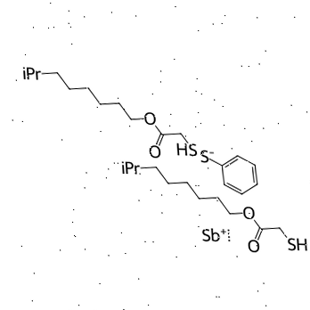 CC(C)CCCCCCOC(=O)CS.CC(C)CCCCCCOC(=O)CS.[S-]c1ccccc1.[Sb+]